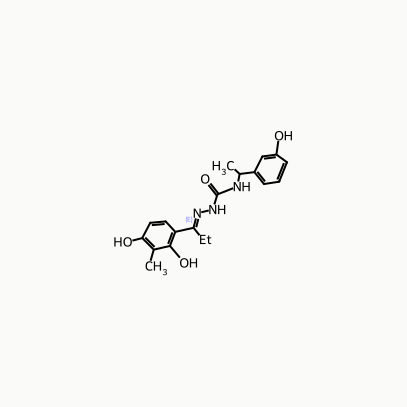 CC/C(=N\NC(=O)NC(C)c1cccc(O)c1)c1ccc(O)c(C)c1O